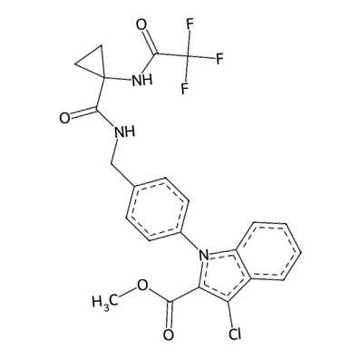 COC(=O)c1c(Cl)c2ccccc2n1-c1ccc(CNC(=O)C2(NC(=O)C(F)(F)F)CC2)cc1